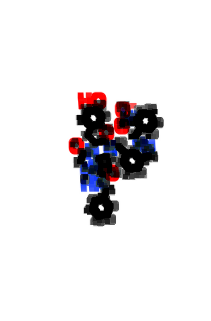 CN1CC(=O)N2[C@@H](Cc3ccc(O)cc3)C(=O)N(Cc3cccc4cnn(Cc5ccccc5[N+](=O)[O-])c34)C[C@@H]2N1C(=O)NCc1ccccc1